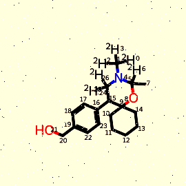 [2H]C([2H])([2H])N1C([2H])(C)OC2(CCCCC2)C(c2ccc(CO)cc2)C1([2H])[2H]